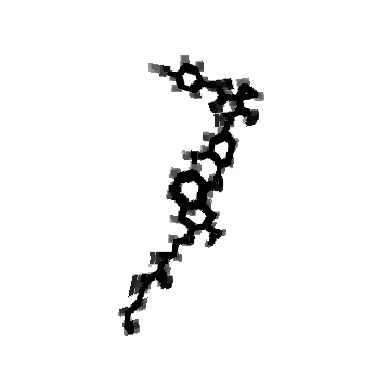 COc1cc2c(Oc3ccc(NC(=O)C4(C(=O)Nc5ccc(F)cc5)CC4)cc3F)ccnc2cc1OCCNC(=O)NCCS